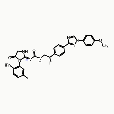 Cc1ccc(C(C)C)c(N2C(=O)CN/C2=N\C(=O)NCC(F)c2ccc(-c3ncn(-c4ccc(OC(F)(F)F)cc4)n3)cc2)c1